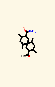 CC(C)C(=O)C1CC2(CC(C(N)=O)C(C)CC2C)C(C)CC1C